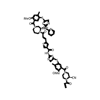 C=CC(=O)N1CCN(C(=O)c2cc(Sc3cnc(NC(=O)c4csc(/C=C/C(=O)N5CCCN(C(=O)c6cc(Sc7cnc(Nc8ccccn8)s7)c(C)cc6OC)C[C@H]5C(C)(C)C)c4)s3)c(C)cc2OC)C[C@H]1C#N